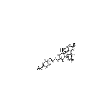 CC(=O)c1ccc(OCCCN2CCC(C(O)(c3ccc(F)cc3)c3ccc(F)cc3)CC2)cc1